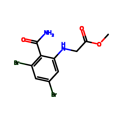 COC(=O)CNc1cc(Br)cc(Br)c1C(N)=O